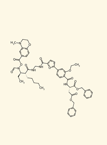 CCCCC[C@@H](C(=O)NCNC(=O)c1ccc(-c2ccc(C(=O)N[C@@H](CC(=O)OCc3ccccc3)C(=O)OCc3ccccc3)c(OCC)c2)o1)[C@@H](CC)N(C=O)OC(=O)c1ccc2c(c1)N(C)CCO2